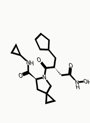 O=C(C[C@@H](CC1CCCC1)C(=O)N1CC2(CC2)C[C@H]1C(=O)NC1CC1)NO